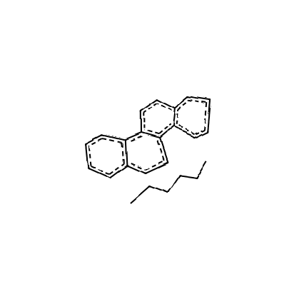 CCCCCC.c1ccc2c(c1)ccc1c3ccccc3ccc21